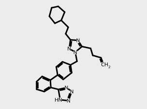 C=CCCc1nc(CCC2CCCCC2)nn1Cc1ccc(-c2ccccc2-c2nnn[nH]2)cc1